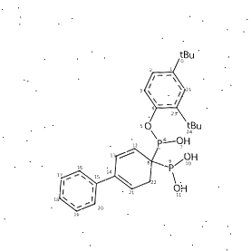 CC(C)(C)c1ccc(OP(O)C2(P(O)O)C=CC(c3ccccc3)=CC2)c(C(C)(C)C)c1